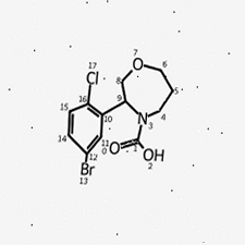 O=C(O)N1CCCOCC1c1cc(Br)ccc1Cl